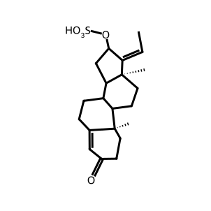 C/C=C1\C(OS(=O)(=O)O)CC2C3CCC4=CC(=O)CC[C@]4(C)C3CC[C@]12C